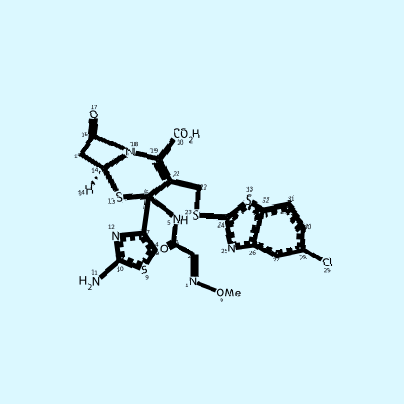 CON=CC(=O)NC1(c2csc(N)n2)S[C@H]2CC(=O)N2C(C(=O)O)=C1CSc1nc2cc(Cl)ccc2s1